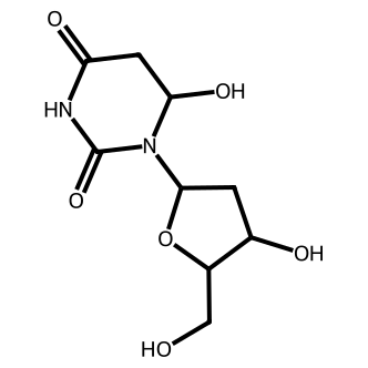 O=C1CC(O)N(C2CC(O)C(CO)O2)C(=O)N1